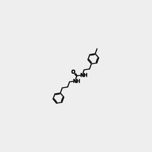 Cc1ccc(CCNC(=O)NCCCc2ccccc2)cc1